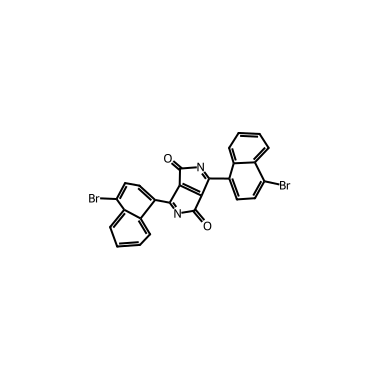 O=c1nc(-c2ccc(Br)c3ccccc23)c2c(=O)nc(-c3ccc(Br)c4ccccc34)c1=2